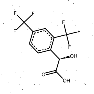 O=C(O)[C@H](O)c1ccc(C(F)(F)F)cc1C(F)(F)F